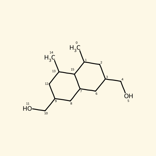 CC1CC(CO)CC2CC(CO)CC(C)C12